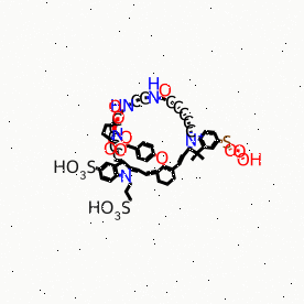 CC1(C)C2=[N+](CCCCCC(=O)NCCNC(=O)CCCCCC3(C)/C(=C/C=C4\CCCC(=C4Oc4ccc(C(=O)ON5C(=O)CCC5=O)cc4)/C=C/2)N(CCCS(=O)(=O)O)c2ccc(S(=O)(=O)O)cc23)c2ccc(SOOO)cc21